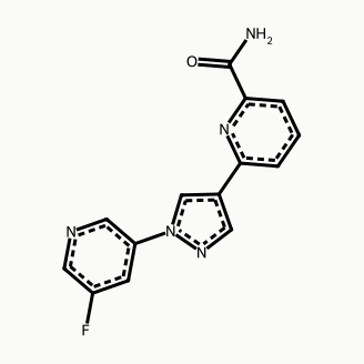 NC(=O)c1cccc(-c2cnn(-c3cncc(F)c3)c2)n1